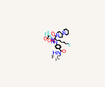 O=C(NCC(F)(F)F)c1ccc(-n2nnc(C(=O)N3CCC(N4CCCCC4)CC3)c2CCCCCF)cc1.O=C(O)C(F)(F)F